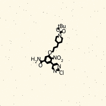 CC(C)(C)OC(=O)N1CCC(CCCOc2cc(C(N)=O)cc(-c3cnc(Cl)nc3)c2[N+](=O)[O-])CC1